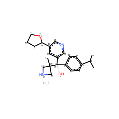 CC(C)c1ccc([C@](O)(c2cncc(C3CCCO3)c2)C2(C)CNC2)cc1.Cl